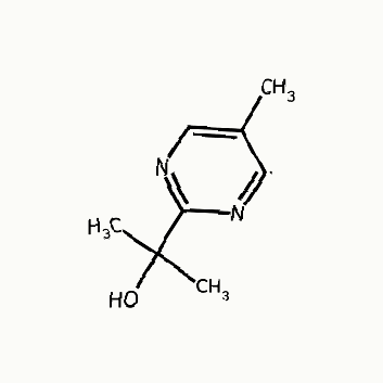 Cc1[c]nc(C(C)(C)O)nc1